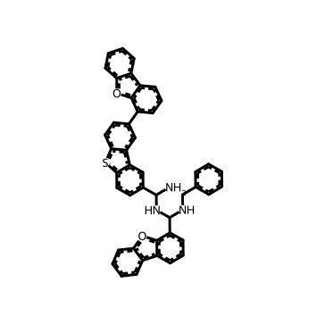 NC(NC(NCc1ccccc1)c1cccc2c1oc1ccccc12)c1ccc2sc3ccc(-c4cccc5c4oc4ccccc45)cc3c2c1